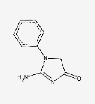 NC1=NC(=O)CN1c1ccccc1